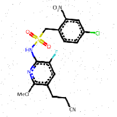 COc1nc(NS(=O)(=O)Cc2ccc(Cl)cc2[N+](=O)[O-])c(F)cc1CCC#N